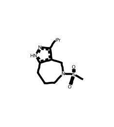 CC(C)c1n[nH]c2c1CN(S(C)(=O)=O)CCC2